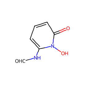 O=CNc1cccc(=O)n1O